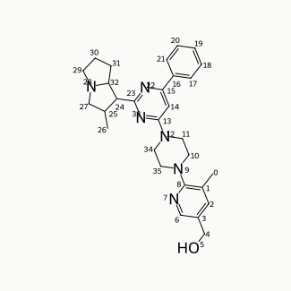 Cc1cc(CO)cnc1N1CCN(c2cc(-c3ccccc3)nc(C3C(C)CN4CCCC34)n2)CC1